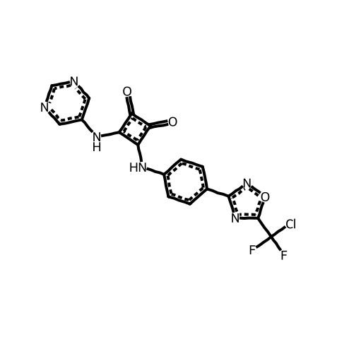 O=c1c(Nc2ccc(-c3noc(C(F)(F)Cl)n3)cc2)c(Nc2cncnc2)c1=O